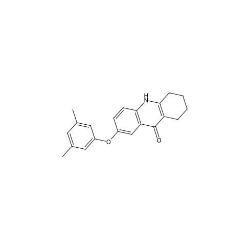 Cc1cc(C)cc(Oc2ccc3[nH]c4c(c(=O)c3c2)CCCC4)c1